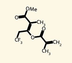 C=C(C)C(=O)OC(CC(F)(F)F)=C(C)C(=O)OC